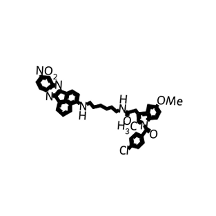 COc1ccc2c(c1)c(CC(=O)NCCCCCCNc1ccc3c4c(cccc14)-c1nc4ccc([N+](=O)[O-])cc4nc1-3)c(C)n2C(=O)c1ccc(Cl)cc1